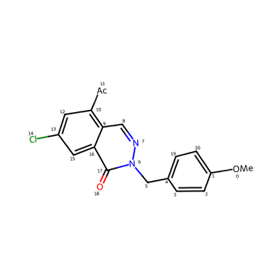 COc1ccc(Cn2ncc3c(C(C)=O)cc(Cl)cc3c2=O)cc1